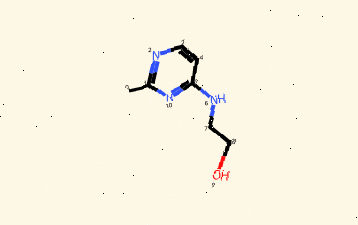 Cc1nccc(NCCO)n1